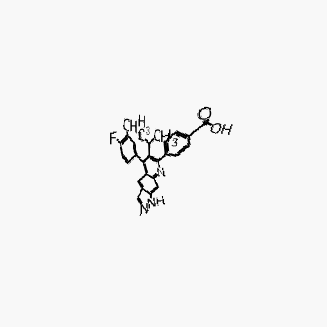 Cc1cc(-c2c(C(C)C)c(-c3ccc(C(=O)O)cc3)nc3cc4[nH]ncc4cc23)ccc1F